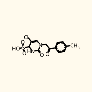 Cc1ccc(C(=O)CN2C=C(Cl)C(S(=O)(=O)O)NC2=O)cc1